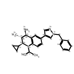 CC(O)N1c2ccc(-c3cnn(Cc4ccccc4)c3)cc2[C@H](N)[C@@H](C)[C@@H]1C1CC1